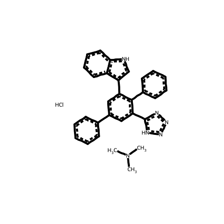 CN(C)C.Cl.c1ccc(-c2cc(-c3nnn[nH]3)c(-c3ccccc3)c(-c3c[nH]c4ccccc34)c2)cc1